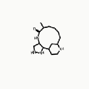 CC1CCCCC2CC(CCN2)C2NNCC2NC1=O